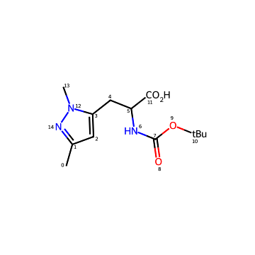 Cc1cc(CC(NC(=O)OC(C)(C)C)C(=O)O)n(C)n1